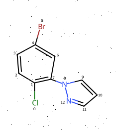 Clc1ccc(Br)cc1-n1cccn1